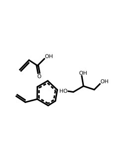 C=CC(=O)O.C=Cc1ccccc1.OCC(O)CO